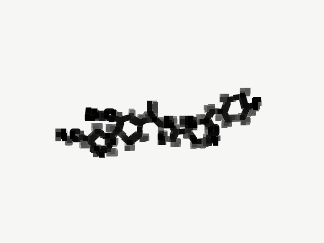 COc1cc(Nc2nc([C@H](CC(C)C)NC(=O)Cc3ccc(F)cc3)cs2)ccc1-n1cnc(C)c1